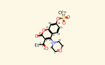 CCC(=O)c1c(N2CCOCC2)c2ccc(OS(=O)(=O)C(F)(F)F)cc2oc1=O